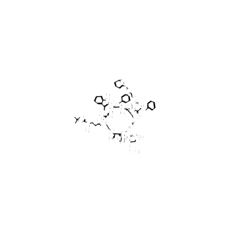 C[C@@H](O)C1NC(=O)[C@H](CCCCNC(=O)OC(C)(C)C)NC(=O)[C@@H](Cc2c[nH]c3ccccc23)NC(=O)[C@H](Cc2ccccc2)NC(=O)[C@@H](NC(=O)[C@@H](Cc2ccccc2)NC(=O)OCCSSc2ccccn2)CSSC[C@@H](C(=O)N[C@H](CO)[C@@H](C)O)NC1=O